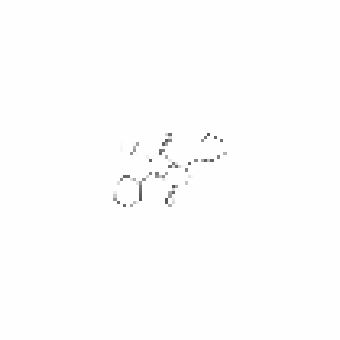 CN1C(=O)C2=C(C3CCCCC3)OC(=O)C2=C1C1CCCCC1